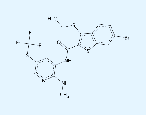 CCSc1c(C(=O)Nc2cc(SC(F)(F)F)cnc2NC)sc2cc(Br)ccc12